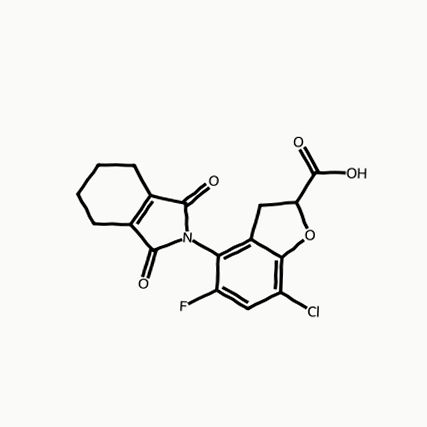 O=C(O)C1Cc2c(c(Cl)cc(F)c2N2C(=O)C3=C(CCCC3)C2=O)O1